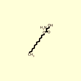 CCCCCCCCCCCCCOC(=O)[C@@H](N)CO